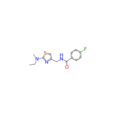 CCN(C)c1nc(CNC(=O)c2ccc(F)cc2)cs1